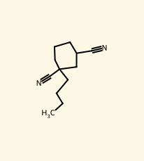 CCCCC1(C#N)CCCC(C#N)C1